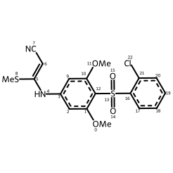 COc1cc(NC(=CC#N)SC)cc(OC)c1S(=O)(=O)c1ccccc1Cl